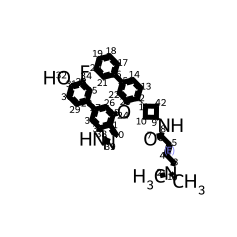 CN(C)C/C=C/C(=O)N[C@H]1C[C@H](c2ccc(-c3ccccc3)cc2Oc2cc(-c3ccc(O)c(F)c3)cc3[nH]ncc23)C1